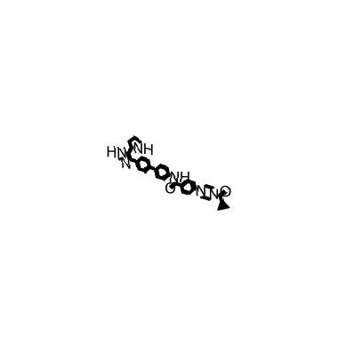 O=C(Nc1ccc(-c2ccc(-c3nc[nH]c3C3CCCN3)cc2)cc1)c1ccc(N2CCN(C(=O)C3CC3)CC2)cc1